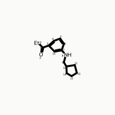 [CH2]CC(=O)c1cccc(NCC2CCCC2)c1